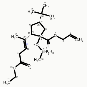 C=CCOC(=O)[N+]1(O[SiH](C)C)C[C@@H](C(C)(C)C)C[C@H]1/C(C)=C/CC(=O)OCC